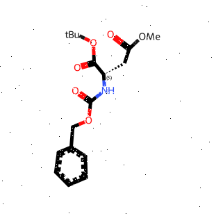 COC(=O)C[C@H](NC(=O)OCc1ccccc1)C(=O)OC(C)(C)C